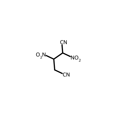 N#CCC(C(C#N)[N+](=O)[O-])[N+](=O)[O-]